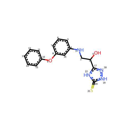 OC(CNc1cccc(Oc2ccccc2)c1)c1n[nH]c(=S)[nH]1